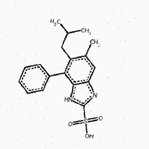 Cc1cc2nc(S(=O)(=O)O)[nH]c2c(-c2ccccc2)c1CC(C)C